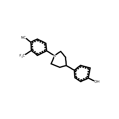 N#Cc1ccc(N2CCC(c3ccc(O)cc3)CC2)cc1C(F)(F)F